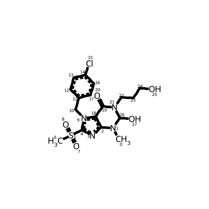 CN1c2nc(S(C)(=O)=O)n(Cc3ccc(Cl)cc3)c2C(=O)N(CCCO)C1O